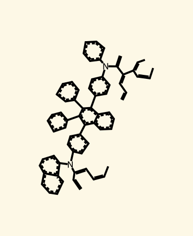 C=C/C=C(/C(=C)N(c1ccccc1)c1ccc(-c2c(-c3ccccc3)c(-c3ccccc3)c(-c3ccc(N(/C(C=C)=C/C=C\C)c4cccc5ccccc45)cc3)c3ccccc23)cc1)C(=CC)/C=C\C